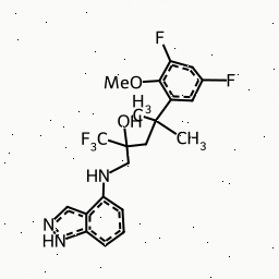 COc1c(F)cc(F)cc1C(C)(C)CC(O)(CNc1cccc2[nH]ncc12)C(F)(F)F